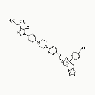 C#Cc1ccc([C@]2(Cn3cnnn3)OC[C@@H](COc3ccc(N4CCN(c5ccc(-n6cnn(C(C)CC)c6=O)cc5)CC4)nc3)O2)cc1